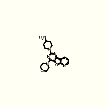 NC1CCN(c2nc(N3CCOCC3)c3oc4ncccc4c3n2)CC1